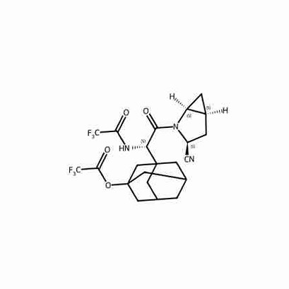 N#C[C@@H]1C[C@@H]2C[C@@H]2N1C(=O)[C@@H](NC(=O)C(F)(F)F)C12CC3CC(CC(OC(=O)C(F)(F)F)(C3)C1)C2